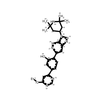 CCOc1cc(-c2ccc(-c3cc4nnn(C5CC(C)(C)NC(C)(C)C5)c4nn3)c(O)c2)ncn1